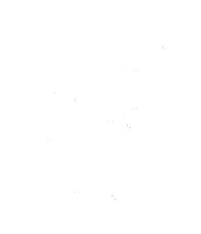 O=C(OCCN1CCOCC1)c1cccc(S(=O)(=O)N2CCSC2C(=O)OC(Cc2c(Cl)c[n+]([O-])cc2Cl)c2ccc(OC(F)F)c(OCC3CC3)c2)c1